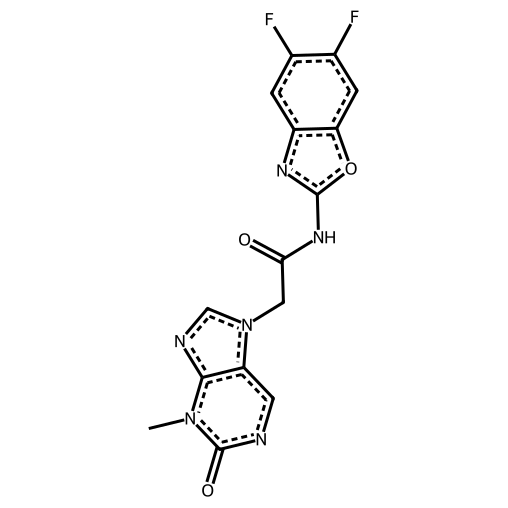 Cn1c(=O)ncc2c1ncn2CC(=O)Nc1nc2cc(F)c(F)cc2o1